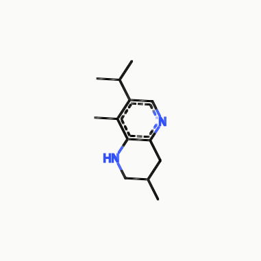 Cc1c(C(C)C)cnc2c1NCC(C)C2